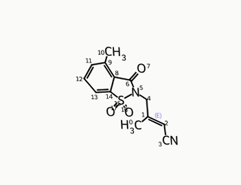 C/C(=C\C#N)CN1C(=O)c2c(C)cccc2S1(=O)=O